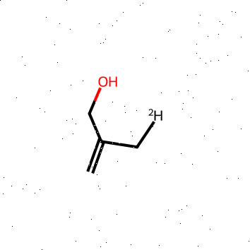 [2H]CC(=C)CO